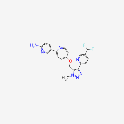 Cn1nnc(-c2ccc(C(F)F)cn2)c1COC1=CC=C(c2ccc(N)nc2)N=C=C1